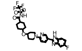 O=C(NS(=O)(=O)C(F)(F)F)C1CCC(OC2CCN(c3ccc(-c4nc5cc(F)ccc5[nH]4)cn3)CC2)CC1